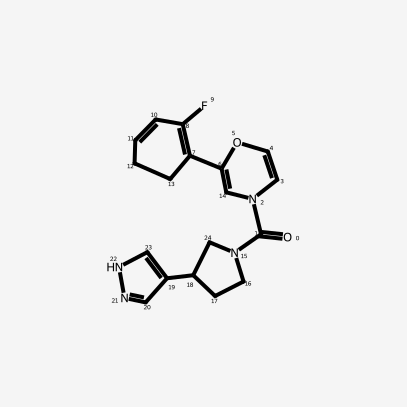 O=C(N1C=COC(C2=C(F)C=CCC2)=C1)N1CCC(c2cn[nH]c2)C1